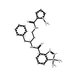 Cn1cccc1C(=O)NCCC(Cc1ccccc1)NC(=O)c1cccc2c1N=N[N+]2(C)C